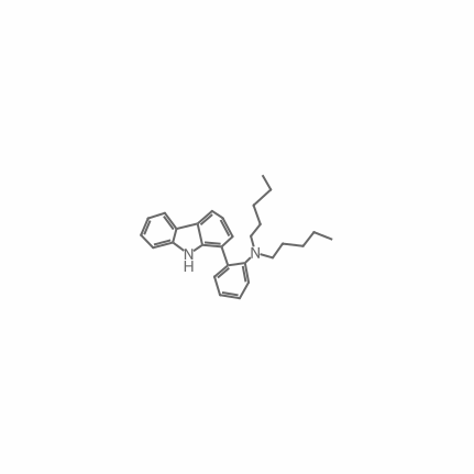 CCCCCN(CCCCC)c1ccccc1-c1cccc2c1[nH]c1ccccc12